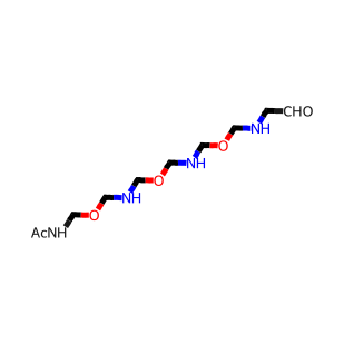 CC(=O)NCOCNCOCNCOCNCC=O